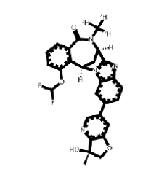 [2H]C([2H])([2H])N1C(=O)c2cccc(OC(F)F)c2[C@H]2C[C@@H]1c1nc3ccc(-c4cnc5c(c4)OC[C@]5(C)O)cc3n12